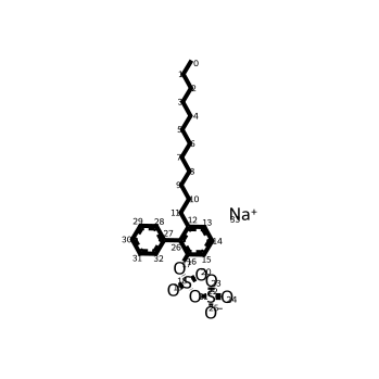 CCCCCCCCCCCCc1cccc(OS(=O)(=O)OS(=O)(=O)[O-])c1-c1ccccc1.[Na+]